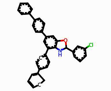 Clc1cccc(C2Nc3c(cc(-c4ccc(-c5ccccc5)cc4)cc3-c3ccc(C4=CC=CCC4)cc3)O2)c1